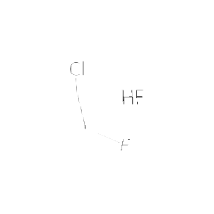 F.FCCl